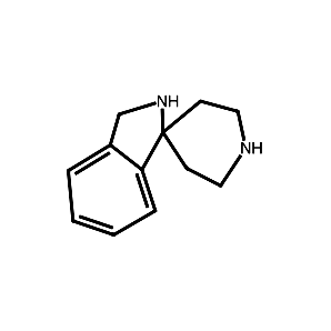 c1ccc2c(c1)CNC21CCNCC1